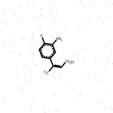 CCOC(=O)/C=C(\c1ccc(F)c([N+](=O)[O-])c1)C(F)(F)F